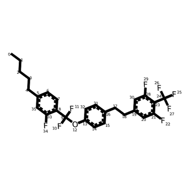 CCCCCc1ccc(C(F)(F)Oc2ccc(CCc3cc(F)c(C(F)(F)F)c(F)c3)cc2)c(F)c1